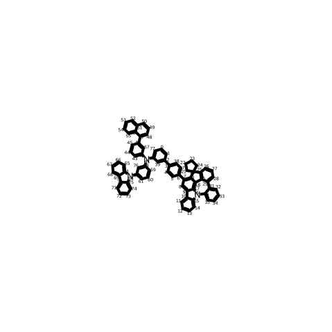 c1cc(-c2ccc(-c3cc4c5ccccc5n5c4c4c3C3(CCCC3)c3cccc(c3-4)-c3ccccc3-5)cc2)cc(N(c2cccc(-c3cccc4ccccc34)c2)c2cccc(-n3c4ccccc4c4ccccc43)c2)c1